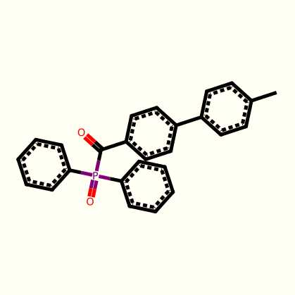 Cc1ccc(-c2ccc(C(=O)P(=O)(c3ccccc3)c3ccccc3)cc2)cc1